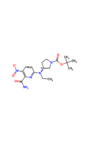 CCN(c1ccc([N+](=O)[O-])c(C(N)=O)n1)[C@H]1CCN(C(=O)OC(C)(C)C)C1